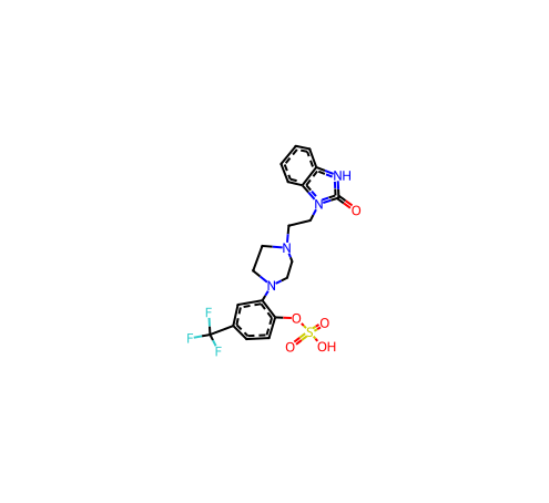 O=c1[nH]c2ccccc2n1CCN1CCN(c2cc(C(F)(F)F)ccc2OS(=O)(=O)O)CC1